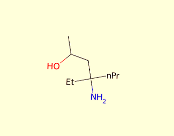 CCCC(N)(CC)CC(C)O